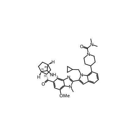 COc1cc(C(=O)[C@H]2C[C@H]3CC[C@@H]2C3N)cc2nc(-c3cc4cccc(C5CCN(C(=O)N(C)C)CC5)c4n3CC3CC3)n(C)c12